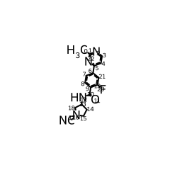 Cc1nccc(-c2ccc(C(=O)NC3CCN(C#N)C3)c(F)c2)n1